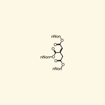 CCCCCCCCCOC(=O)/C=C(/CC(=O)OCCCCCCCCC)C(=O)OCCCCCCCCC